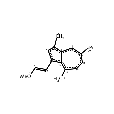 CO/C=C/c1cc(C)c2cc(C(C)C)ccc(C)c1-2